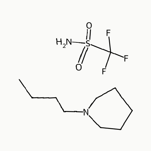 CCCCN1CCCCC1.NS(=O)(=O)C(F)(F)F